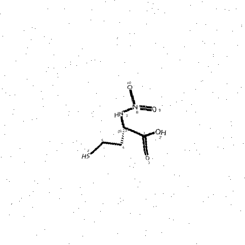 O=C(O)[C@H](CCS)N[N+](=O)[O-]